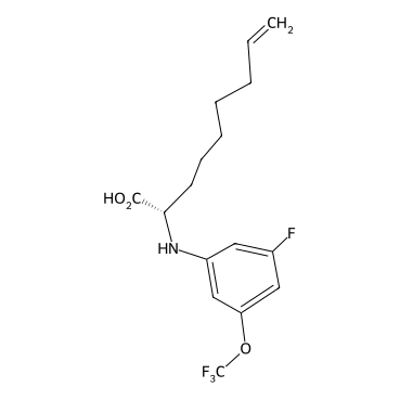 C=CCCCCC[C@H](Nc1cc(F)cc(OC(F)(F)F)c1)C(=O)O